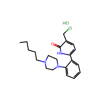 CCCCCN1CCN(c2ccccc2-c2ccc(CCl)c(=O)[nH]2)CC1.Cl